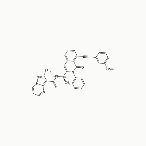 COc1cc(C#Cc2cccc3cc([C@@H](C)NC(=O)c4c(C)nn5cccnc45)n(-c4ccccc4)c(=O)c23)ccn1